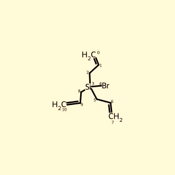 C=CC[Si](Br)(CC=C)CC=C